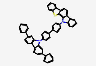 c1ccc(-c2ccc3c4ccc(-c5ccccc5)cc4n(-c4ccc(-c5ccc(-n6c7ccccc7c7ccc8c9ccccc9sc8c76)cc5)cc4)c3c2)cc1